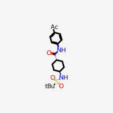 CC(=O)c1ccc(NC(=O)[C@H]2CC[C@H](NS(=O)(=O)C(C)(C)C)CC2)cc1